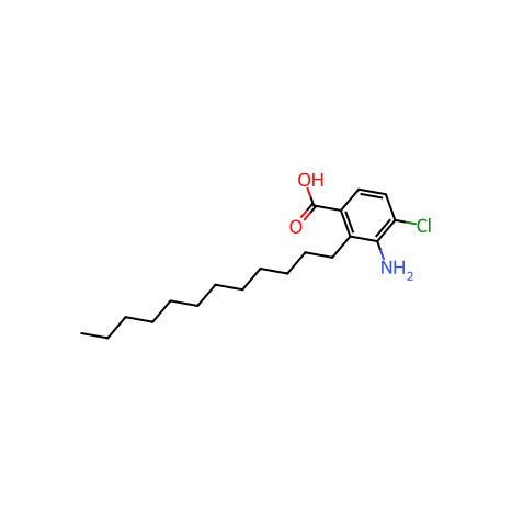 CCCCCCCCCCCCc1c(C(=O)O)ccc(Cl)c1N